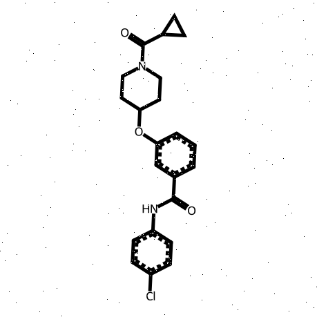 O=C(Nc1ccc(Cl)cc1)c1cccc(OC2CCN(C(=O)C3CC3)CC2)c1